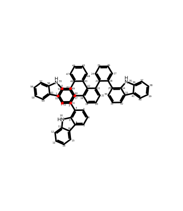 c1ccc(-c2cccc3c2[nH]c2ccccc23)c(-c2cccc(-c3ccccc3-c3cccc4c3[nH]c3ccccc34)c2-c2ccccc2-c2cccc3c2[nH]c2ccccc23)c1